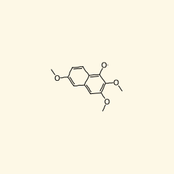 COc1ccc2c([O])c(OC)c(OC)cc2c1